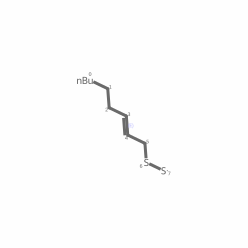 CCCCCC/C=C/CS[S]